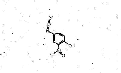 [N-]=[N+]=Nc1ccc(O)c([N+](=O)[O-])c1